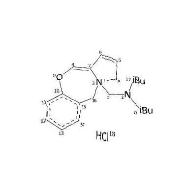 CCC(C)N(C[N+]12CC=CC1=COc1ccccc1C2)C(C)CC.Cl